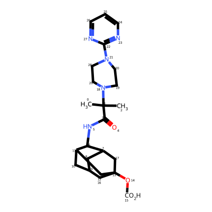 CC(C)(C(=O)NC1C2CC3CC1CC(OC(=O)O)(C3)C2)N1CCN(c2ncccn2)CC1